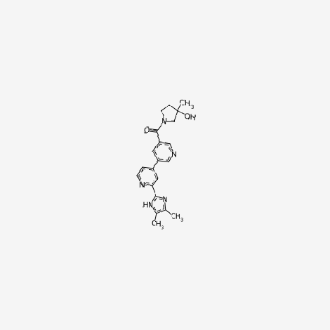 Cc1nc(-c2cc(-c3cncc(C(=O)N4CCC(C)(O)C4)c3)ccn2)[nH]c1C